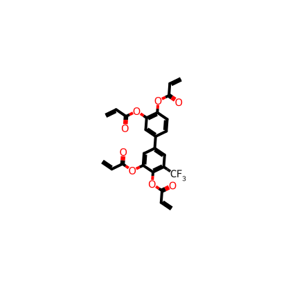 C=CC(=O)Oc1ccc(-c2cc(OC(=O)C=C)c(OC(=O)C=C)c(C(F)(F)F)c2)cc1OC(=O)C=C